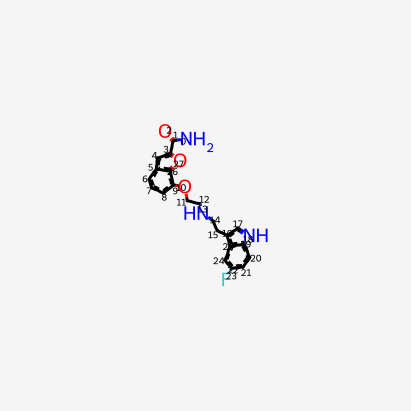 NC(=O)c1cc2cccc(OCCNCCc3c[nH]c4ccc(F)cc34)c2o1